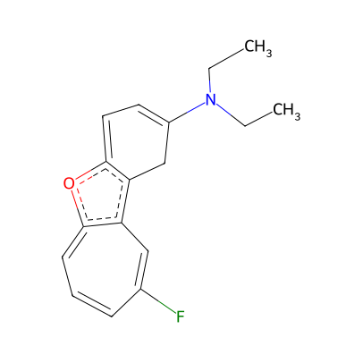 CCN(CC)C1=CC=c2oc3c(c2C1)C=C(F)C=CC=3